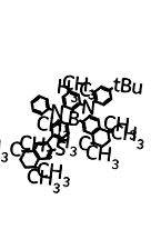 Cc1cc2c3c(c1)N(c1ccccc1C)c1cc4c(cc1B3c1cc3c(cc1N2c1ccc(C(C)(C)C)cc1C)C(C)(C)CCC3(C)C)sc1cc2c(cc14)C(C)(C)CCC2(C)C